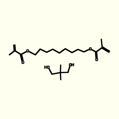 C=C(C)C(=O)OCCCCCCCCCOC(=O)C(=C)C.CC(C)(CO)CO